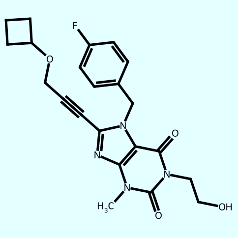 Cn1c(=O)n(CCO)c(=O)c2c1nc(C#CCOC1CCC1)n2Cc1ccc(F)cc1